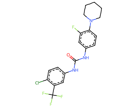 O=C(Nc1ccc(N2CCCCC2)c(F)c1)Nc1ccc(Cl)c(C(F)(F)F)c1